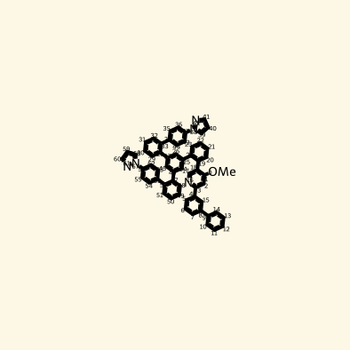 COc1cc(-c2cccc(-c3ccccc3)c2)ncc1-c1ccccc1-c1cc(-c2ccccc2-c2ccc(-n3cccn3)cc2)cc(-c2ccccc2-c2ccc(-n3cccn3)cc2)c1